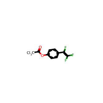 O=C(Oc1ccc(C(F)=C(F)F)cc1)C(Cl)(Cl)Cl